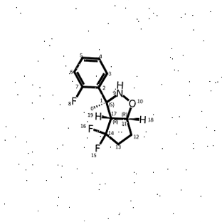 C[C@]1(c2ccccc2F)NO[C@@H]2CCC(F)(F)[C@@H]21